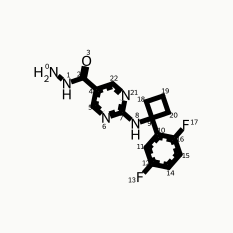 NNC(=O)c1cnc(NC2(c3cc(F)ccc3F)CCC2)nc1